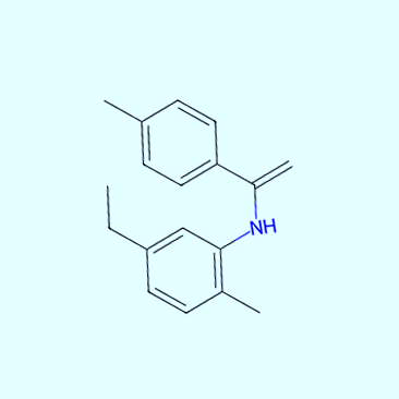 C=C(Nc1cc(CC)ccc1C)c1ccc(C)cc1